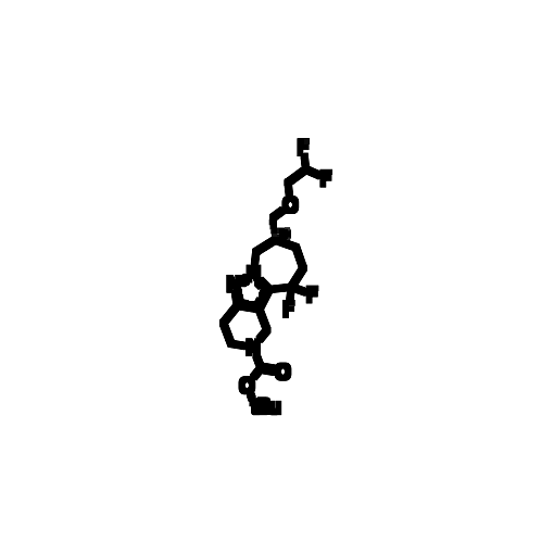 CC(C)(C)OC(=O)N1CCc2nn3c(c2C1)C(F)(F)CC[C@@H](COCC(F)F)C3